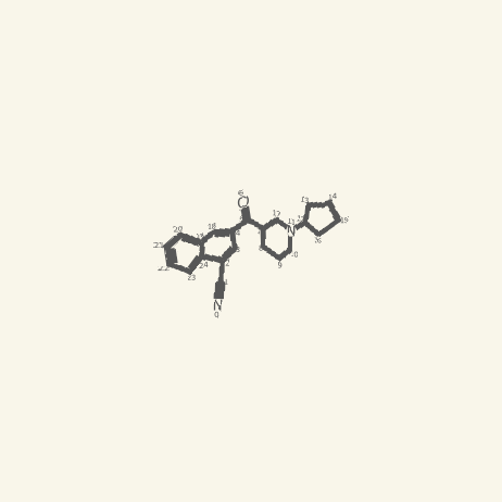 N#Cc1cc(C(=O)C2CCCN(C3CCCC3)C2)cc2ccccc12